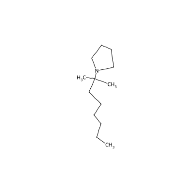 CCCCCCC(C)(C)N1CCCC1